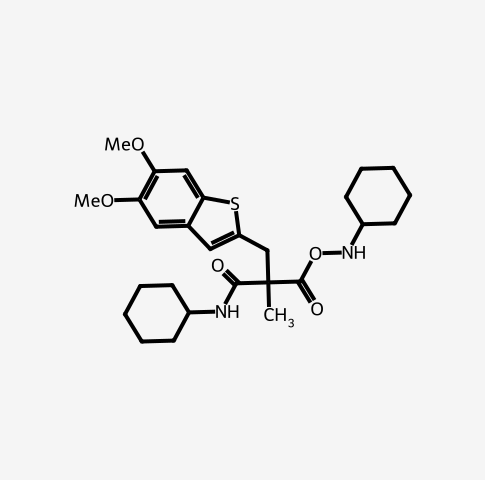 COc1cc2cc(CC(C)(C(=O)NC3CCCCC3)C(=O)ONC3CCCCC3)sc2cc1OC